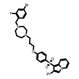 CC(C)c1cn2ccccc2c1S(=O)(=O)c1ccc(OCCCN2CCCN(Cc3ccc(Br)cc3F)CC2)cc1